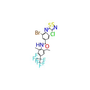 CCc1cc(C(F)(C(F)(F)F)C(F)(F)F)cc(C)c1NC(=O)c1ccc(/N=c2/ssnc2Cl)c(Br)c1